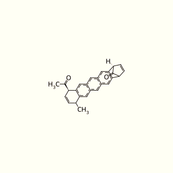 CC(=O)[C@@H]1C=CC(C)c2cc3cc4cc5c(cc4cc3cc21)[C@H]1C=CC5C1=O